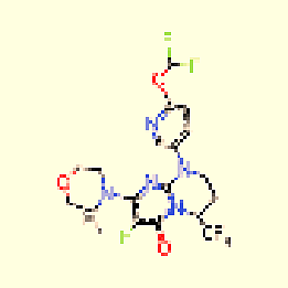 C[C@@H]1COCCN1c1nc2n(c(=O)c1F)C(C(F)(F)F)CCN2c1ccc(OC(F)F)nc1